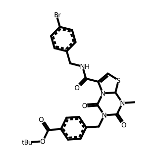 CN1C(=O)N(Cc2ccc(C(=O)OC(C)(C)C)cc2)C(=O)N2C(C(=O)NCc3ccc(Br)cc3)=CSC12